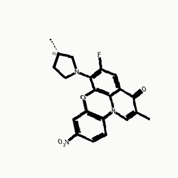 Cc1cn2c3c(c(N4CC[C@H](C)C4)c(F)cc3c1=O)Oc1cc([N+](=O)[O-])ccc1-2